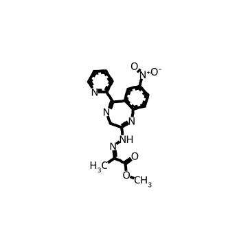 COC(=O)C(C)=NNC1=Nc2ccc([N+](=O)[O-])cc2C(c2ccccn2)=NC1